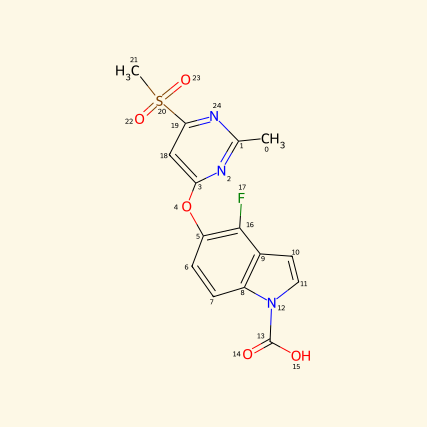 Cc1nc(Oc2ccc3c(ccn3C(=O)O)c2F)cc(S(C)(=O)=O)n1